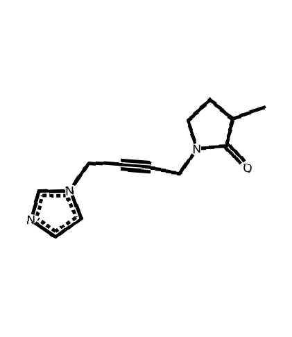 CC1CCN(CC#CCn2ccnc2)C1=O